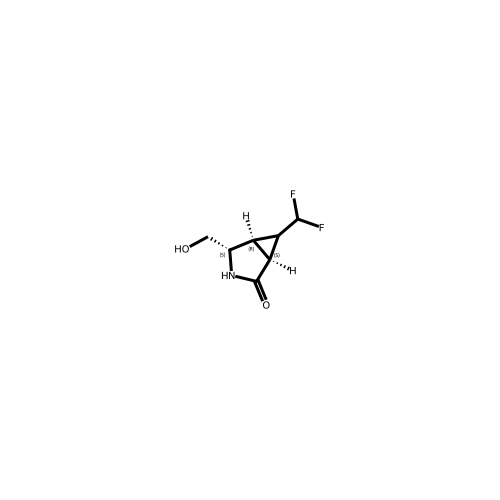 O=C1N[C@H](CO)[C@H]2C(C(F)F)[C@@H]12